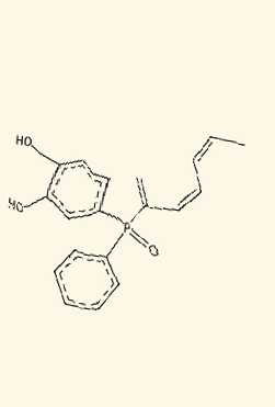 C=C(/C=C\C=C/C)P(=O)(c1ccccc1)c1ccc(O)c(O)c1